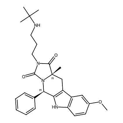 COc1ccc2[nH]c3c(c2c1)C[C@@]1(C)C(=O)N(CCCNC(C)(C)C)C(=O)N1[C@@H]3c1ccccc1